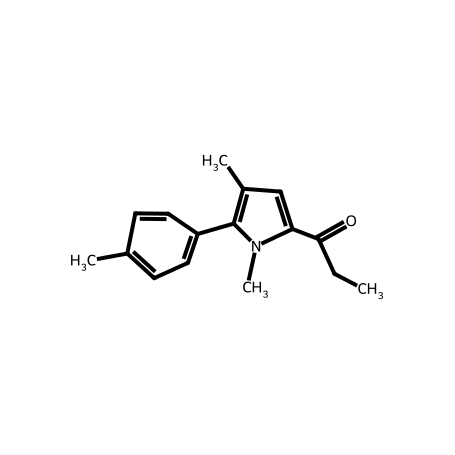 CCC(=O)c1cc(C)c(-c2ccc(C)cc2)n1C